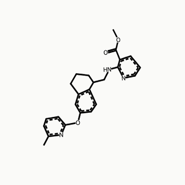 COC(=O)c1cccnc1NCC1CCCc2cc(Oc3cccc(C)n3)ccc21